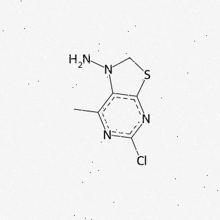 Cc1nc(Cl)nc2c1N(N)CS2